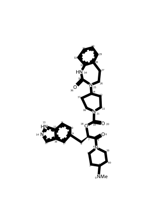 CNC1CCN(C(=O)[C@@H](Cc2ccc3[nH]ncc3c2)OC(=O)N2CCC(N3CCc4ccccc4NC3=O)CC2)CC1